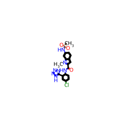 Cn1c(C(=O)Nc2ccc(Cl)cc2-c2nnn[nH]2)cc2ccc(NS(C)(=O)=O)cc21